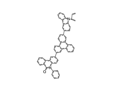 C=CC(=C)n1c2ccccc2c2cc(-c3ccc4c5ccc(-c6ccc7c(c6)c6ccccc6c(=O)n7-c6ccccc6)cc5c5ccccc5c4c3)ccc21